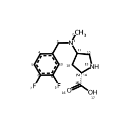 CN(Cc1ccc(F)c(F)c1)C1CN[C@H](C(=O)O)C1